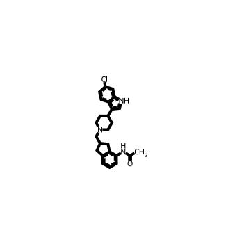 CC(=O)Nc1cccc2c1CC(CN1CCC(c3c[nH]c4cc(Cl)ccc34)CC1)C2